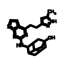 Cc1cc(CCc2nc(NC3C4CC5CC3CC(O)(C5)C4)nc3sccc23)n[nH]1